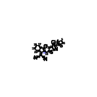 Cn1c(-c2cccs2)nc2sc(/C=C3\C(=O)c4ccccc4C3=C(C#N)C#N)cc21